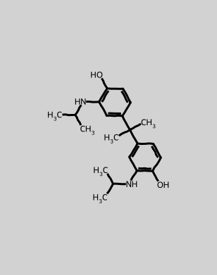 CC(C)Nc1cc(C(C)(C)c2ccc(O)c(NC(C)C)c2)ccc1O